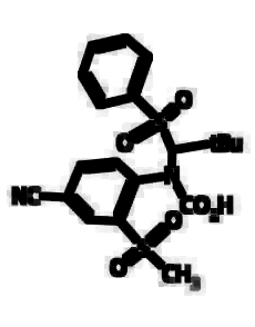 CC(C)(C)C(N(C(=O)O)c1ccc(C#N)cc1S(C)(=O)=O)S(=O)(=O)c1ccccc1